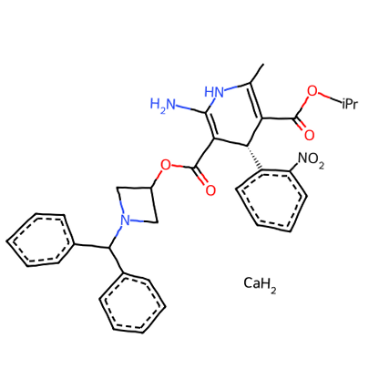 CC1=C(C(=O)OC(C)C)[C@H](c2ccccc2[N+](=O)[O-])C(C(=O)OC2CN(C(c3ccccc3)c3ccccc3)C2)=C(N)N1.[CaH2]